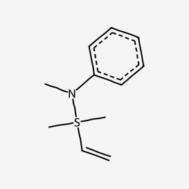 C=CS(C)(C)N(C)c1ccccc1